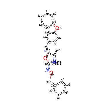 C=c1/c(=C\c2ccc3oc4ccccc4c3c2)o/c(=N/OCc2ccccc2)n1CC